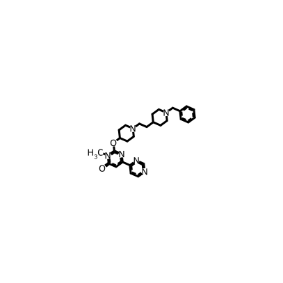 Cn1c(OC2CCN(CCC3CCN(Cc4ccccc4)CC3)CC2)nc(-c2ccncn2)cc1=O